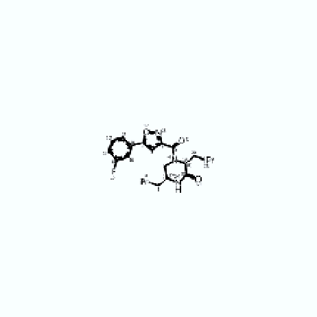 CC(C)C[C@H]1CN(C(=O)c2cc(-c3cccc(F)c3)on2)[C@@H](CC(C)C)C(=O)N1